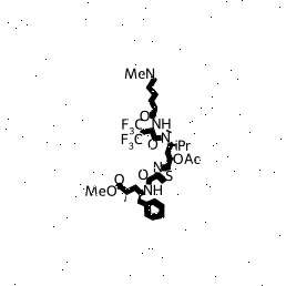 CNCCCCCC(=O)N[C@H](C(=O)N(C)[C@H](C[C@@H](OC(C)=O)c1nc(C(=O)N[C@@H](Cc2ccccc2)C[C@H](C)C(=O)OC)cs1)C(C)C)C(C(F)(F)F)C(F)(F)F